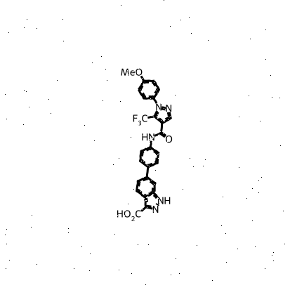 COc1ccc(-n2ncc(C(=O)Nc3ccc(-c4ccc5c(C(=O)O)n[nH]c5c4)cc3)c2C(F)(F)F)cc1